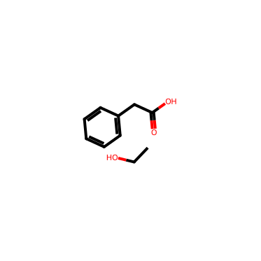 CCO.O=C(O)Cc1ccccc1